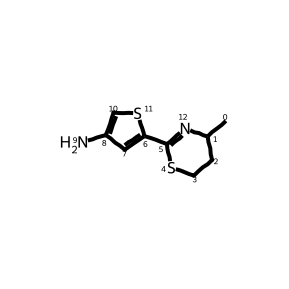 CC1CCSC(c2cc(N)cs2)=N1